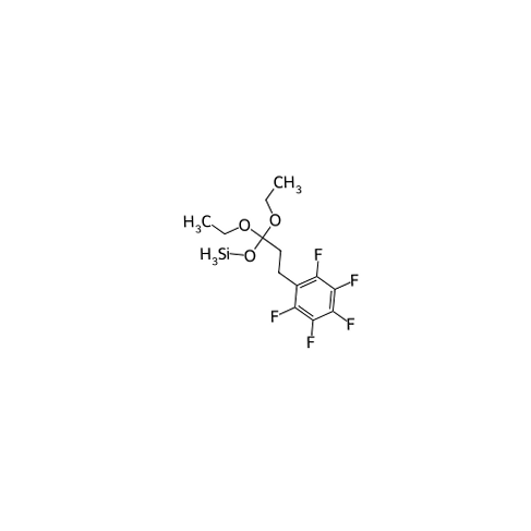 CCOC(CCc1c(F)c(F)c(F)c(F)c1F)(O[SiH3])OCC